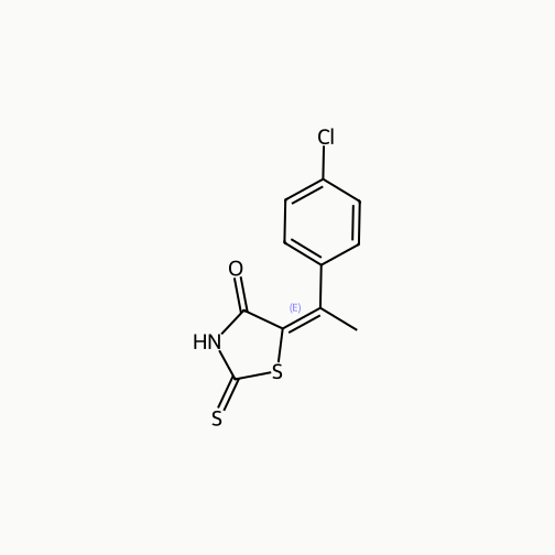 C/C(=C1\SC(=S)NC1=O)c1ccc(Cl)cc1